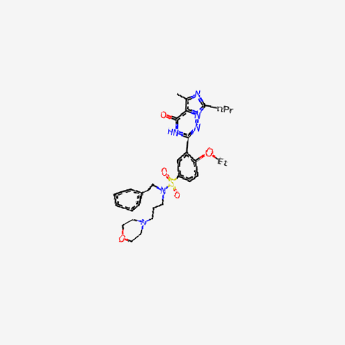 CCCc1nc(C)c2c(=O)[nH]c(-c3cc(S(=O)(=O)N(CCCN4CCOCC4)Cc4ccccc4)ccc3OCC)nn12